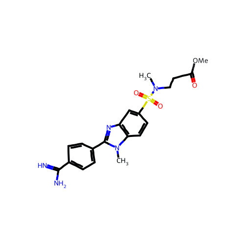 COC(=O)CCN(C)S(=O)(=O)c1ccc2c(c1)nc(-c1ccc(C(=N)N)cc1)n2C